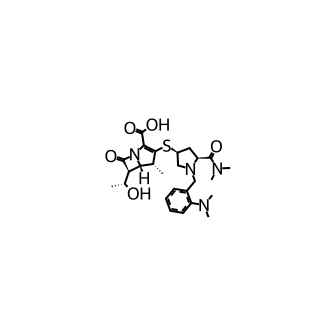 C[C@@H](O)[C@H]1C(=O)N2C(C(=O)O)=C(S[C@H]3C[C@@H](C(=O)N(C)C)N(Cc4ccccc4N(C)C)C3)[C@H](C)[C@H]12